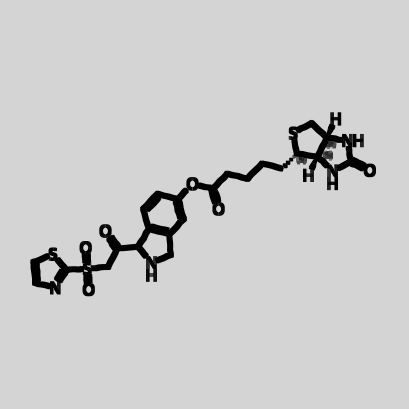 O=C1N[C@H]2[C@H](CS[C@H]2CCCCC(=O)Oc2ccc3c(c2)CNC3C(=O)CS(=O)(=O)c2nccs2)N1